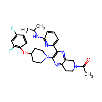 CC(=O)N1CCc2nc(N3CCC(Oc4ccc(F)cc4F)CC3)c(-c3cccc(NC(C)C)n3)nc2C1